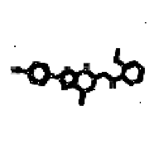 COC1=CC=CCC1NCC1CC(=O)n2nc(-c3ccc(O)cc3)nc2N1